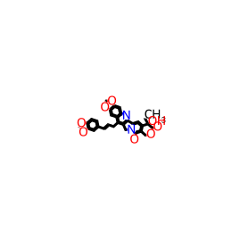 CC[C@@]1(O)C(=O)OCc2c1cc1n(c2=O)Cc2c-1nc1cc3c(cc1c2C/C=C/c1ccc2c(c1)OCO2)OCO3